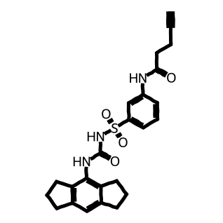 C#CCCC(=O)Nc1cccc(S(=O)(=O)NC(=O)Nc2c3c(cc4c2CCC4)CCC3)c1